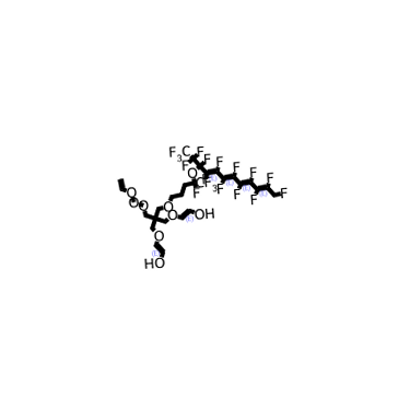 C=COOOCC(CO/C=C/O)(CO/C=C/O)COCCCC(F)(OC(F)(/C(F)=C(F)/C(F)=C(F)/C(F)=C(F)/C(F)=C(\F)CF)C(F)(F)C(F)(F)F)C(F)(F)F